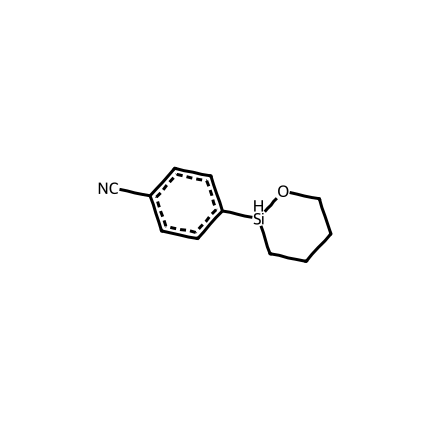 N#Cc1ccc([SiH]2CCCCO2)cc1